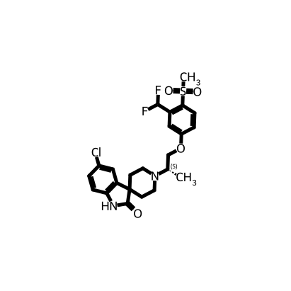 C[C@@H](COc1ccc(S(C)(=O)=O)c(C(F)F)c1)N1CCC2(CC1)C(=O)Nc1ccc(Cl)cc12